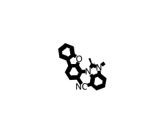 Cc1ccc2c(oc3ccccc32)c1N1c2c(C#N)cccc2N(C)[C@@H]1C